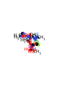 CCNc1nc(Cl)nc(NC(C)C)n1.CCOC(=O)COC(=O)c1cc(Oc2ccc(C(F)(F)F)cc2Cl)ccc1[N+](=O)[O-].COc1cc(OC)nc(NC(=O)NS(=O)(=O)c2ncccc2C(=O)N(C)C)n1.CP(=O)(O)CCC(N)C(=O)O